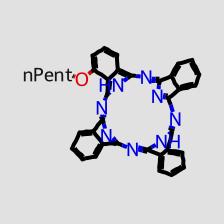 CCCCCOc1cccc2c3nc4nc(nc5[nH]c(nc6nc(nc([nH]3)c12)-c1ccccc1-6)c1ccccc51)-c1ccccc1-4